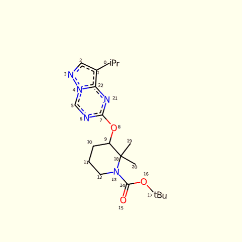 CC(C)c1cnn2cnc(OC3CCCN(C(=O)OC(C)(C)C)C3(C)C)nc12